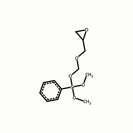 CO[Si](OC)(OCOCC1CO1)c1ccccc1